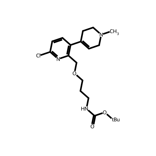 CN1CC=C(c2ccc(Cl)nc2COCCCNC(=O)OC(C)(C)C)CC1